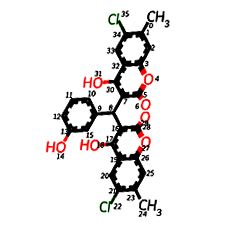 Cc1cc2oc(=O)c(C(c3cccc(O)c3)c3c(O)c4cc(Cl)c(C)cc4oc3=O)c(O)c2cc1Cl